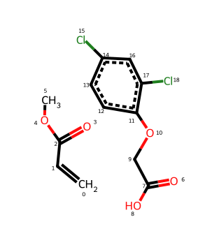 C=CC(=O)OC.O=C(O)COc1ccc(Cl)cc1Cl